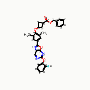 Cc1cc(-c2nc3cnc(Oc4ccccc4F)nc3o2)cc(C)c1OC1CC(C(=O)OCc2ccccc2)C1